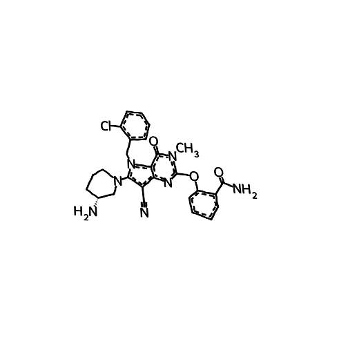 Cn1c(Oc2ccccc2C(N)=O)nc2c(C#N)c(N3CCC[C@@H](N)C3)n(Cc3ccccc3Cl)c2c1=O